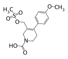 COc1ccc(C2=C(COS(C)(=O)=O)CN(C(=O)O)CC2)cc1